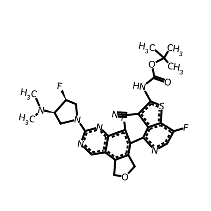 CN(C)[C@@H]1CN(c2ncc3c4c(c(-c5ncc(F)c6sc(NC(=O)OC(C)(C)C)c(C#N)c56)c(F)c3n2)COC4)C[C@@H]1F